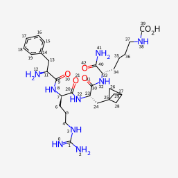 N=C(N)NCCC[C@@H](NC(=O)[C@@H](N)Cc1ccccc1)C(=O)N[C@@H](CC12CC(C1)C2)C(=O)N[C@@H](CCCCNC(=O)O)C(N)=O